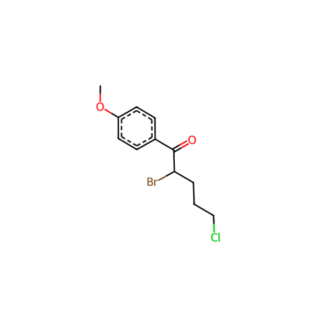 COc1ccc(C(=O)C(Br)CCCCl)cc1